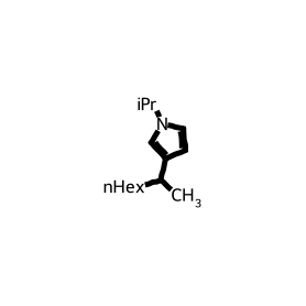 CCCCCCC(C)c1ccn(C(C)C)c1